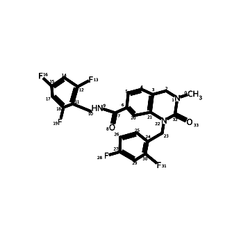 CN1Cc2ccc(C(=O)NCc3c(F)cc(F)cc3F)cc2N(Cc2ccc(F)cc2F)C1=O